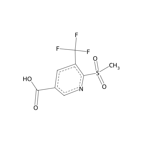 CS(=O)(=O)c1ncc(C(=O)O)cc1C(F)(F)F